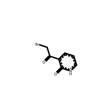 O=C(CBr)c1ccc[nH]c1=O